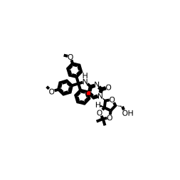 COc1ccc(C(Nc2ccn([C@@H]3O[C@H](CO)C4OC(C)(C)O[C@@H]43)c(=O)n2)(c2ccccc2)c2ccc(OC)cc2)cc1